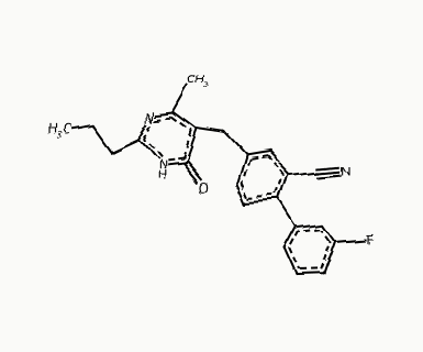 CCCc1nc(C)c(Cc2ccc(-c3cccc(F)c3)c(C#N)c2)c(=O)[nH]1